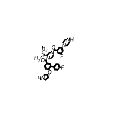 CC(C)[C@H]1CN(C(=O)c2cc(F)cc(N3CCNCC3)c2)CCN1C(=O)c1ccc(O[C@H]2CCNC2)c(-c2ccc(F)cc2)c1